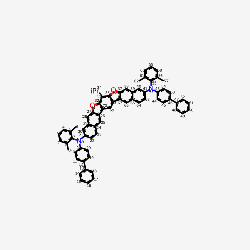 Cc1cccc(C)c1N(c1ccc(-c2ccccc2)cc1)c1ccc2cc3c(cc2c1)oc1c(C(C)C)c2oc4cc5cc(N(c6ccc(-c7ccccc7)cc6)c6c(C)cccc6C)ccc5cc4c2cc13